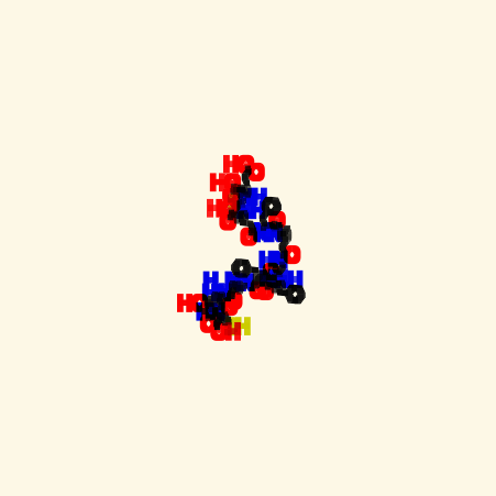 C[C@@H](CCC(=O)NCC(=O)N[C@@H](Cc1ccccc1)C(=O)N[C@@H](Cc1ccccc1)C(=O)NC[C@H](N)C(=O)N[C@@H](CC(=O)O)C(=O)N[C@@H](CS)C(=O)O)NC(=O)C(Cc1ccccc1)NC(=O)CC[C@H](NC(=S)N[C@@H](CCC(=O)O)C(=O)O)C(=O)O